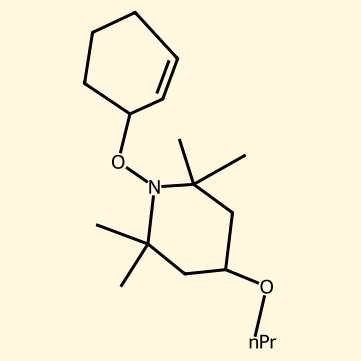 CCCOC1CC(C)(C)N(OC2C=CCCC2)C(C)(C)C1